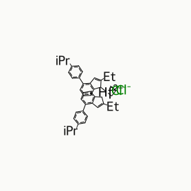 CCC1=Cc2c(-c3ccc(C(C)C)cc3)cccc2[CH]1[Hf+2]1([CH]2C(CC)=Cc3c(-c4ccc(C(C)C)cc4)cccc32)[CH2]C[CH2]1.[Cl-].[Cl-]